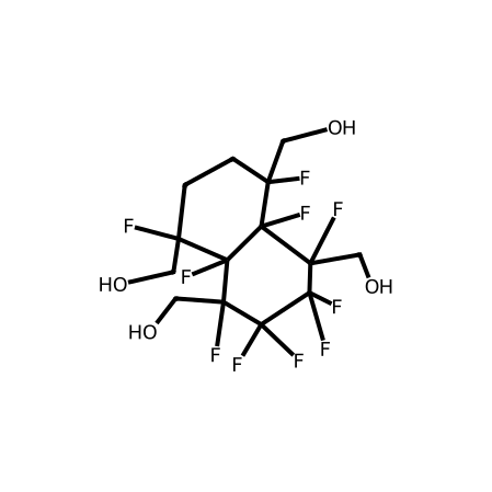 OCC1(F)CCC(F)(CO)C2(F)C(F)(CO)C(F)(F)C(F)(F)C(F)(CO)C12F